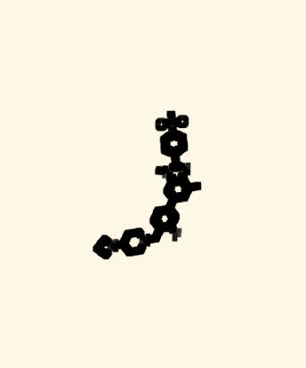 Cc1cc(-c2ccc(CN3CCC(N4CCC4)CC3)c(F)c2)cc2c1nc(-c1ccc(S(C)(=O)=O)cc1)n2C